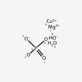 O.O=P([O-])([O-])[O-].[Cu+2].[Mg+2].[OH-]